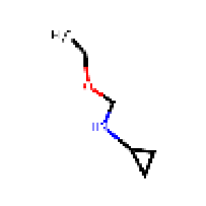 CCOCNC1CC1